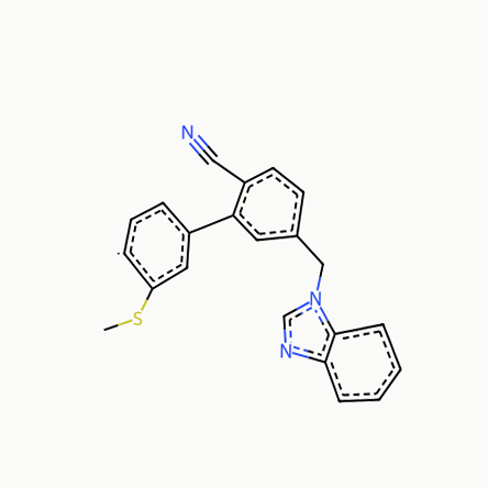 CSc1[c]ccc(-c2cc(Cn3cnc4ccccc43)ccc2C#N)c1